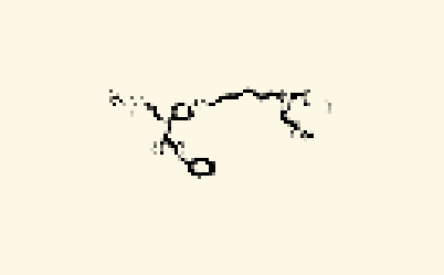 C=CCN(C(=O)OCc1ccccc1)[C@H]1CC[C@H](OCCCCCCN(CC)CCO)CC1